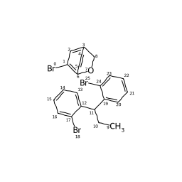 Brc1cc2ccc1OC2.CCC(c1ccccc1Br)c1ccccc1Br